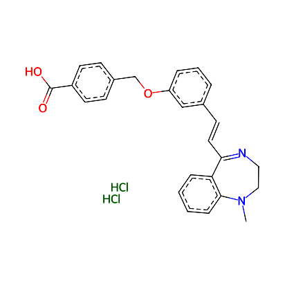 CN1CCN=C(C=Cc2cccc(OCc3ccc(C(=O)O)cc3)c2)c2ccccc21.Cl.Cl